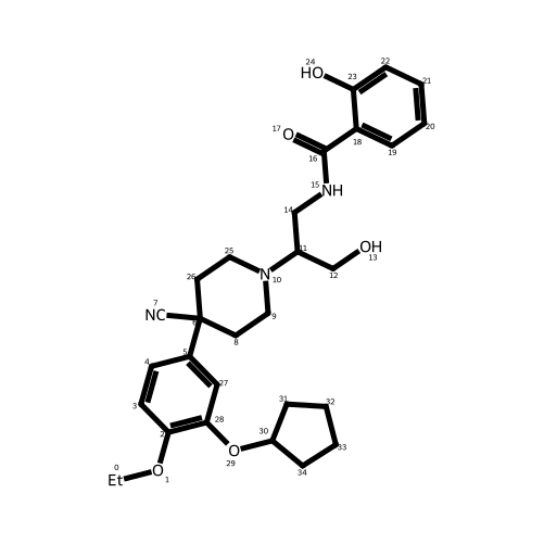 CCOc1ccc(C2(C#N)CCN(C(CO)CNC(=O)c3ccccc3O)CC2)cc1OC1CCCC1